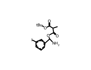 CC(C(=O)OC(N)c1cccc(I)c1)C(=O)OC(C)(C)C